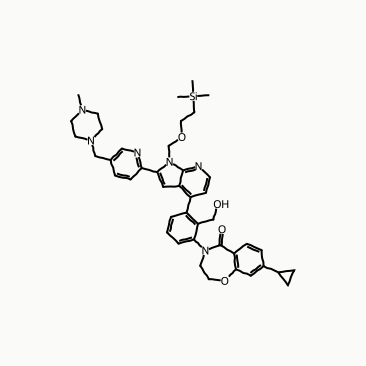 CN1CCN(Cc2ccc(-c3cc4c(-c5cccc(N6CCOc7cc(C8CC8)ccc7C6=O)c5CO)ccnc4n3COCC[Si](C)(C)C)nc2)CC1